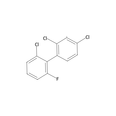 Fc1cccc(Cl)c1-c1ccc(Cl)[c]c1Cl